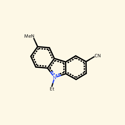 CCn1c2ccc(C#N)cc2c2cc(NC)ccc21